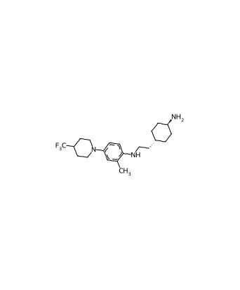 Cc1cc(N2CCC(C(F)(F)F)CC2)ccc1NCC[C@H]1CC[C@H](N)CC1